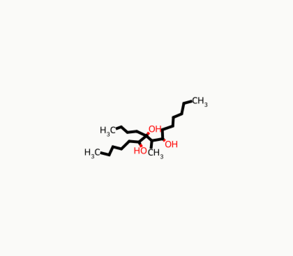 CCCCCCC(O)C(C)C(O)(CCCC)C(O)CCCCC